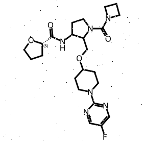 O=C(NC1CCN(C(=O)N2CCC2)C1COC1CCN(c2ncc(F)cn2)CC1)[C@@H]1CCCO1